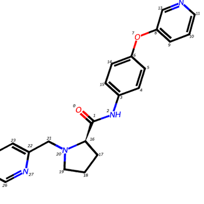 O=C(Nc1ccc(Oc2cccnc2)cc1)[C@H]1CCCN1Cc1ccccn1